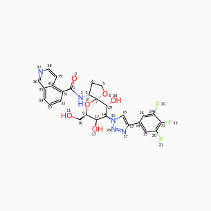 O=C(N[C@@H]1CCO[C@]12O[C@H](CO)[C@H](O)[C@H](n1cc(-c3cc(F)c(F)c(F)c3)nn1)[C@H]2O)c1cccc2cnccc12